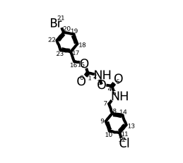 O=C(NOC(=O)NCc1ccc(Cl)cc1)OCc1ccc(Br)cc1